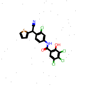 N#CC(c1cccs1)c1ccc(NC(=O)c2cc(Cl)c(Cl)c(Cl)c2O)cc1Cl